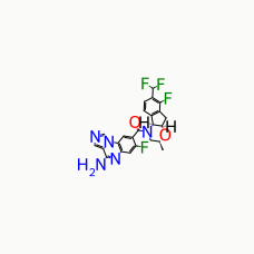 C[C@H]1CN(C(=O)c2cc3c(cc2F)nc(N)c2cncn23)[C@H]2c3ccc(C(F)F)c(F)c3C[C@H]2O1